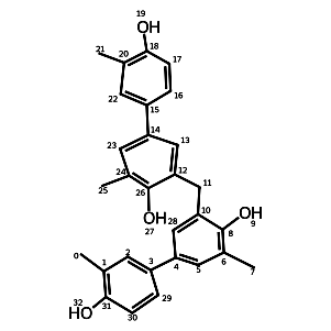 Cc1cc(-c2cc(C)c(O)c(Cc3cc(-c4ccc(O)c(C)c4)cc(C)c3O)c2)ccc1O